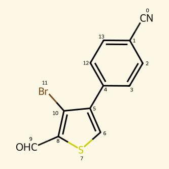 N#Cc1ccc(-c2csc(C=O)c2Br)cc1